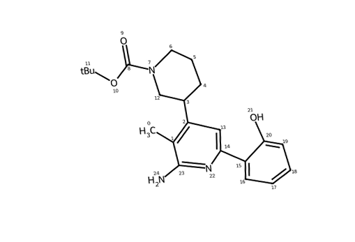 Cc1c(C2CCCN(C(=O)OC(C)(C)C)C2)cc(-c2ccccc2O)nc1N